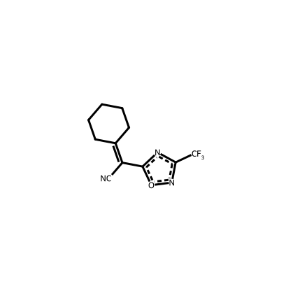 N#CC(=C1CCCCC1)c1nc(C(F)(F)F)no1